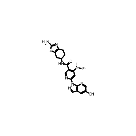 CC(C)Nc1cc(-n2ncc3cc(C#N)cnc32)ncc1C(=O)NC1CCc2nc(N)sc2C1